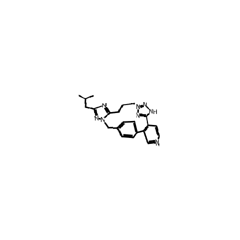 CCCc1nc(CC(C)C)nn1Cc1ccc(-c2cnccc2-c2nnn[nH]2)cc1